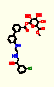 COC(=O)[C@H]1O[C@@H](OC(=O)c2cccc(-c3cccc(NCCNC[C@H](O)c4cccc(Cl)c4)c3)c2)[C@H](O)[C@@H](O)[C@@H]1O